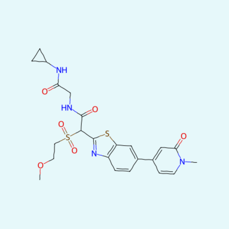 COCCS(=O)(=O)C(C(=O)NCC(=O)NC1CC1)c1nc2ccc(-c3ccn(C)c(=O)c3)cc2s1